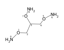 NOCC(CON)ON